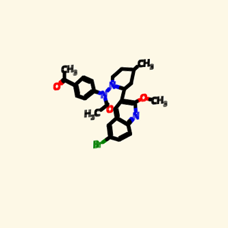 COc1nc2ccc(Br)cc2cc1C1CC(C)CCN1N(C(C)=O)c1ccc(C(C)=O)cc1